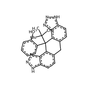 CC(C)(C)C(C)(C)C1(c2ccccc2O)c2c(ccc3[nH]nnc23)Cc2ccc3[nH]nnc3c21